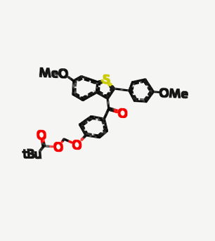 COc1ccc(-c2sc3cc(OC)ccc3c2C(=O)c2ccc(OCOC(=O)C(C)(C)C)cc2)cc1